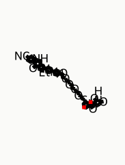 CCc1cc2c(cc1N1CCC(N3CCN(C(=O)COCCOCCOCCOCCSc4cccc5c4CN(C4CCC(=O)NC4=O)C5=O)CC3)CC1)C(C)(C)c1[nH]c3cc(C#N)ccc3c1C2=O